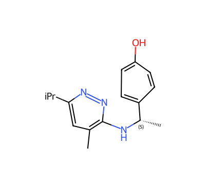 Cc1cc(C(C)C)nnc1N[C@@H](C)c1ccc(O)cc1